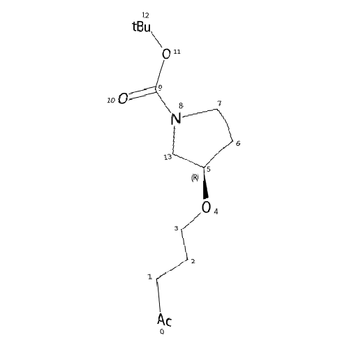 CC(=O)CCCO[C@@H]1CCN(C(=O)OC(C)(C)C)C1